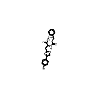 CCCCCCNC(=O)C(Cc1ncc(-c2ccc(Br)cc2)s1)NC(=O)OCc1ccccc1